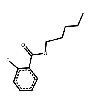 CCCCCOC(=O)c1ccccc1F